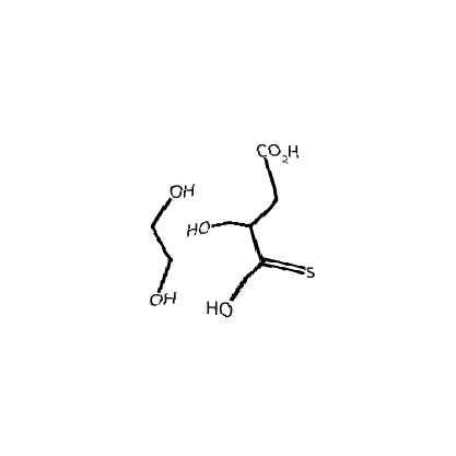 O=C(O)CC(O)C(O)=S.OCCO